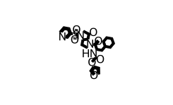 O=C(NC(CC1CCCCC1)C(=O)N1CCC2C1C(=O)CN2S(=O)(=O)c1cccnc1)Oc1ccoc1